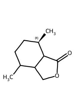 CC1CC[C@@H](C)C2C(=O)OCC12